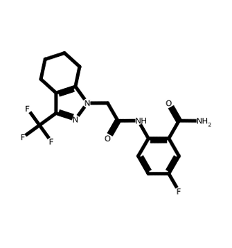 NC(=O)c1cc(F)ccc1NC(=O)Cn1nc(C(F)(F)F)c2c1CCCC2